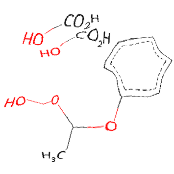 CC(OO)Oc1ccccc1.O=C(O)O.O=C(O)O